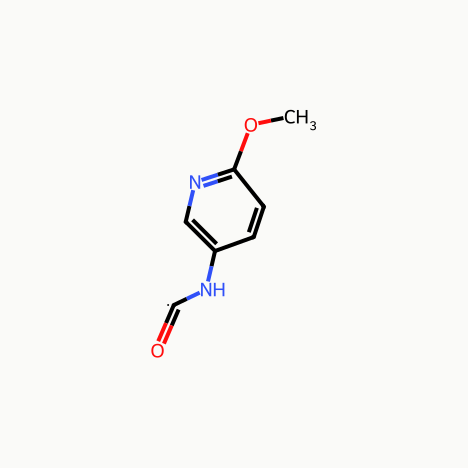 COc1ccc(N[C]=O)cn1